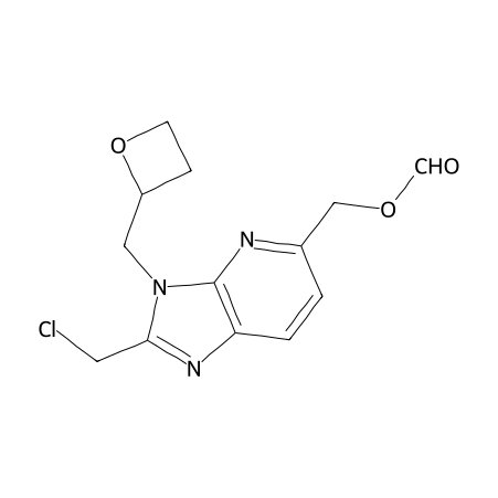 O=COCc1ccc2nc(CCl)n(CC3CCO3)c2n1